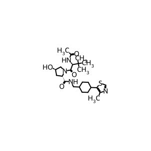 CC(=O)N[C@H](C(=O)N1C[C@H](O)C[C@H]1C(=O)NCC1CCC(c2scnc2C)CC1)C(C)(C)C